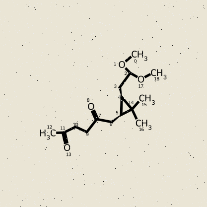 COC(C[C@@H]1[C@H](CC(=O)CCC(C)=O)C1(C)C)OC